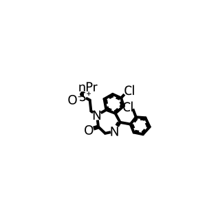 CCC[S+]([O-])CCN1C(=O)CN=C(c2ccccc2Cl)c2cc(Cl)ccc21